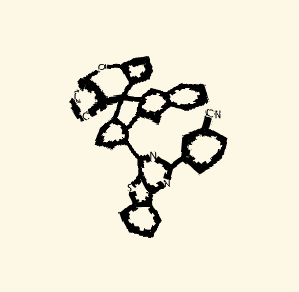 N#Cc1cccc(-c2nc(-c3cccc4c3-c3cc5ccccc5cc3C43c4ccccc4Oc4ccccc43)c3sc4ccccc4c3n2)c1